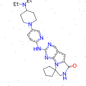 CCN(CC)C1CCN(c2ccc(Nc3ncc4cc5n(c4n3)C3(CCCC3)CNC5=O)nc2)CC1